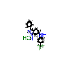 Cl.FC(F)(F)c1ccc(Nc2ccc3c(-c4ccccc4)n[nH]c3c2)cc1